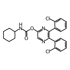 O=C(NC1CCCCC1)Oc1cnc(-c2ccccc2Cl)c(-c2ccccc2Cl)n1